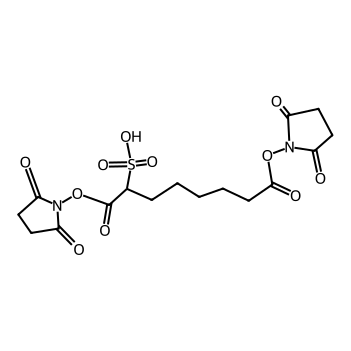 O=C(CCCCCC(C(=O)ON1C(=O)CCC1=O)S(=O)(=O)O)ON1C(=O)CCC1=O